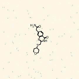 NC(=O)Cc1ccc2c(=O)[nH]c(CSC3CCOCC3)nc2c1